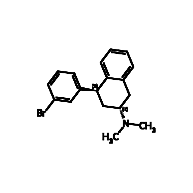 CN(C)[C@H]1Cc2ccccc2[C@H](c2cccc(Br)c2)C1